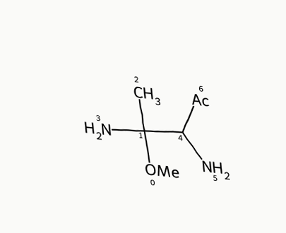 COC(C)(N)C(N)C(C)=O